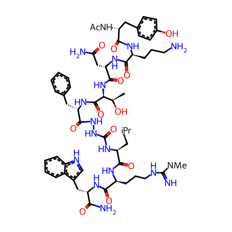 CNC(=N)NCCC[C@H](NC(=O)[C@H](CC(C)C)NC(=O)NNC(=O)[C@H](Cc1ccccc1)NC(=O)[C@@H](NC(=O)[C@H](CC(N)=O)NC(=O)[C@H](CCCN)NC(=O)[C@@H](Cc1ccc(O)cc1)NC(C)=O)[C@@H](C)O)C(=O)N[C@@H](Cc1c[nH]c2ccccc12)C(N)=O